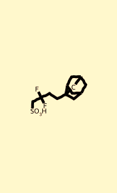 O=S(=O)(O)CC(F)(F)CCC12CC3CC(CC1C3)C2